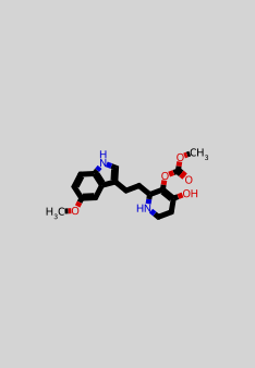 COC(=O)OC1=C(O)CCNC1CCc1c[nH]c2ccc(OC)cc12